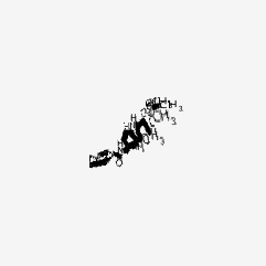 CC(C)(C)[Si](C)(C)O[C@@H]1CO[C@@H]2C[C@H]1Nc1ccc(CNC(=O)n3ccnc3)cc12